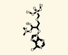 CCOP(=O)(COCC(On1cnc2c(Cl)ncnc21)C(O[SiH](C)C)C(C)(C)C)OCC